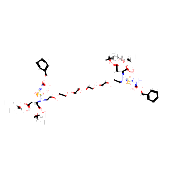 CC(C)(C)OC(=O)C[C@@H](C(=O)OC(C)(C)C)N(CCOCCOCCOCCOCCOCCN([C@@H](CC(=O)OC(C)(C)C)C(=O)OC(C)(C)C)S(=O)(=O)NC(=O)OCc1ccccc1)S(=O)(=O)NC(=O)OCc1ccccc1